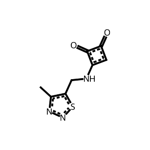 Cc1nnsc1CNc1cc(=O)c1=O